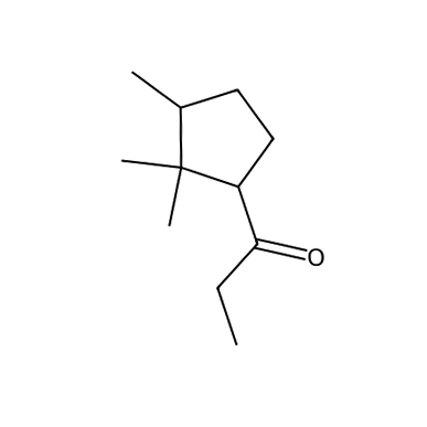 CCC(=O)C1CCC(C)C1(C)C